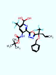 C=CC[C@@](OCc1ccccc1)(c1nnc(-c2nc(C(O)O)c(C(F)(F)F)cc2NC(=O)OC(C)(C)C)o1)C(F)(F)F